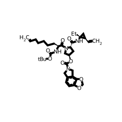 C=CCCCCC[C@H](NC(=O)OC(C)(C)C)C(=O)N1C[C@H](OC(=O)N2Cc3ccc4c(c3C2)OCO4)C[C@H]1C(=O)N[C@]1(CC)C[C@H]1C=C